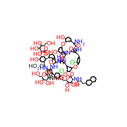 CC(=O)N[C@H]1C(O)[C@H](O)C(CO)O[C@H]1O[C@@H]1c2ccc(c(Cl)c2)Oc2cc3cc(c2O[C@@H]2OC(CO)[C@@H](O)[C@H](O)C2NC(=O)CCc2ccc4ccccc4c2)Oc2ccc(cc2Cl)C[C@H]2NC(=O)[C@H](N)c4ccc(O)c(c4)Oc4cc(O)cc(c4)[C@H](NC2=O)C(=O)N[C@H]3C(=O)N[C@H]2C(=O)N[C@@H]1C(=O)N[C@H](C(=O)O)c1cc(O)cc(O[C@H]3OC(CO)[C@@H](O)[C@@H](O)C3O)c1-c1cc2ccc1O